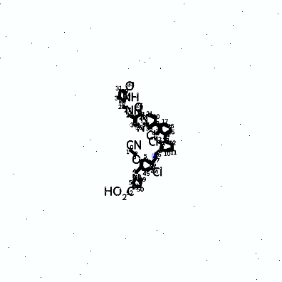 N#CCCOc1cc(/C=C/c2cccc(-c3cccc(-c4ccn5c(=O)c(CNC[C@@H]6CCC(=O)N6)cnc5c4)c3Cl)c2Cl)c(Cl)cc1CN1CC[C@H](C(=O)O)C1